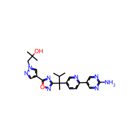 CC(C)C(C)(c1ccc(-c2cnc(N)nc2)nc1)c1noc(-c2cnn(CC(C)(C)O)c2)n1